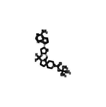 CC(C)(C)OC(=O)N1CCC2(CCC(C(F)(F)F)N2C[C@@H]2CC[C@H](c3ccc4c(N)ncnn34)O2)CC1